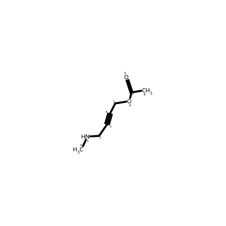 CNCC#CCOC(C)=O